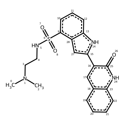 CN(C)CCNS(=O)(=O)c1cccc2[nH]c(-c3cc4ccccc4[nH]c3=O)cc12